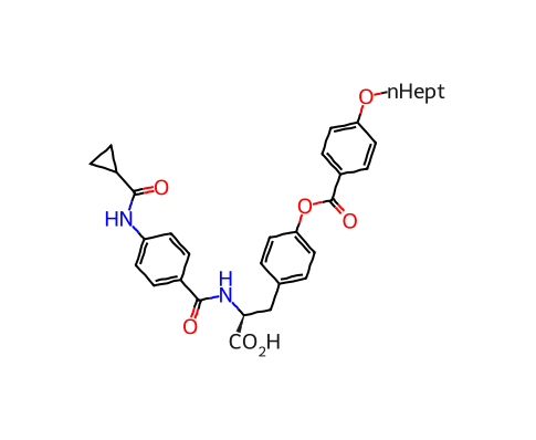 CCCCCCCOc1ccc(C(=O)Oc2ccc(C[C@H](NC(=O)c3ccc(NC(=O)C4CC4)cc3)C(=O)O)cc2)cc1